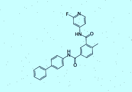 Cc1ccc(C(=O)Nc2ccc(-c3ccccc3)cc2)cc1C(=O)Nc1ccnc(F)c1